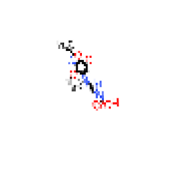 CCc1nc2c(o1)C(=O)C=C(N(C)CCNC(=O)O)C2=O